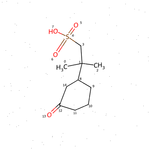 CC(C)(CS(=O)(=O)O)C1CCCC(=O)C1